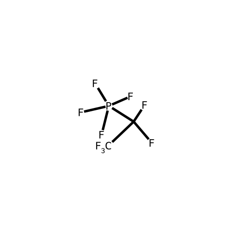 FC(F)(F)C(F)(F)P(F)(F)(F)F